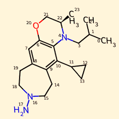 CC(C)CN1c2c(cc3c(c2C2CC2)CCN(N)CC3)OC[C@H]1C